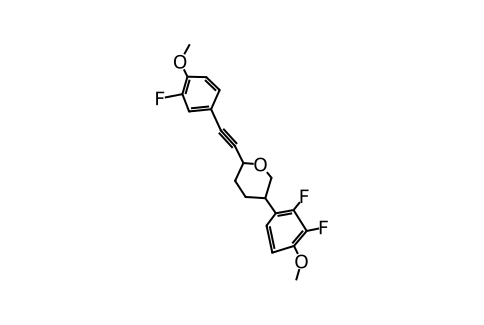 COc1ccc(C#CC2CCC(c3ccc(OC)c(F)c3F)CO2)cc1F